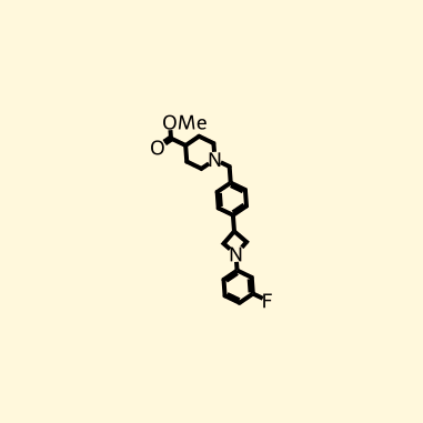 COC(=O)C1CCN(Cc2ccc(C3CN(c4cccc(F)c4)C3)cc2)CC1